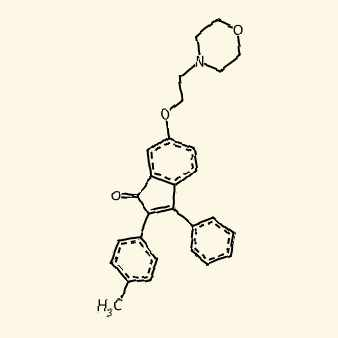 Cc1ccc(C2=C(c3ccccc3)c3ccc(OCCN4CCOCC4)cc3C2=O)cc1